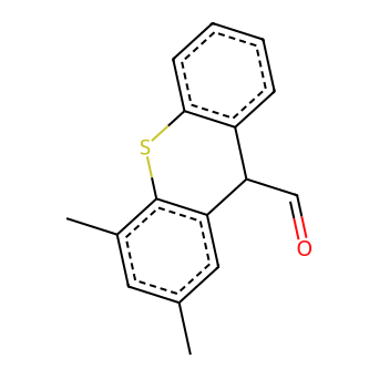 Cc1cc(C)c2c(c1)C(C=O)c1ccccc1S2